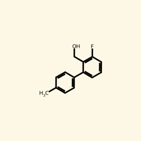 Cc1ccc(-c2cccc(F)c2CO)cc1